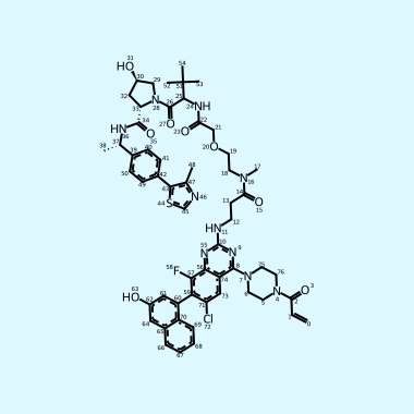 C=CC(=O)N1CCN(c2nc(NCCC(=O)N(C)CCOCC(=O)NC(C(=O)N3C[C@H](O)C[C@H]3C(=O)N[C@@H](C)c3ccc(-c4scnc4C)cc3)C(C)(C)C)nc3c(F)c(-c4cc(O)cc5ccccc45)c(Cl)cc23)CC1